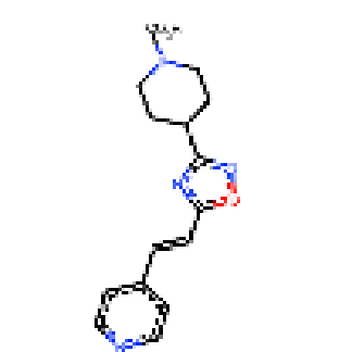 O=C(O)N1CCC(c2noc(C=Cc3ccncc3)n2)CC1